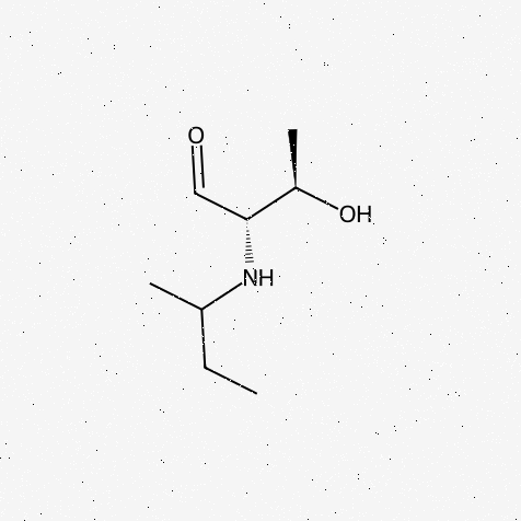 CCC(C)N[C@H](C=O)[C@@H](C)O